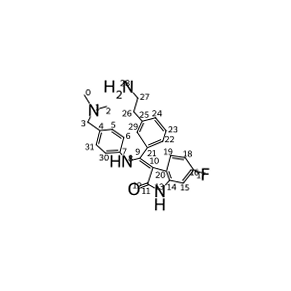 CN(C)Cc1ccc(N/C(=C2\C(=O)Nc3cc(F)ccc32)c2cccc(CCN)c2)cc1